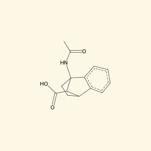 CC(=O)NC12CCC(c3ccccc31)C2C(=O)O